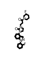 O=C(CCN1CCN(c2cccc3c2cnn3-c2ccccc2F)C1=O)N1CCC[C@@H](F)C1